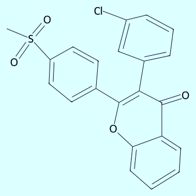 CS(=O)(=O)c1ccc(-c2oc3ccccc3c(=O)c2-c2cccc(Cl)c2)cc1